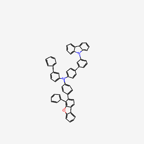 c1ccc(-c2cccc(N(c3ccc(-c4cccc(-n5c6ccccc6c6ccccc65)c4)cc3)c3ccc(-c4ccc5c(oc6ccccc65)c4-c4ccccc4)cc3)c2)cc1